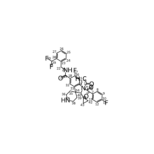 CC(=O)[N+]1(S(=O)(=O)c2ccc(F)cc2)c2cc(F)c(C(=O)NCc3ccccc3C(F)F)cc2C2(CCNCC2)C1C1CC1